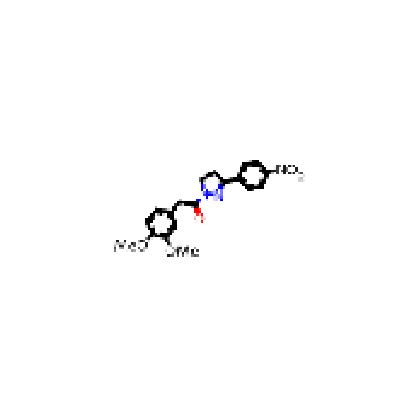 COc1ccc(CC(=O)N2CCC(c3ccc([N+](=O)[O-])cc3)=N2)cc1OC